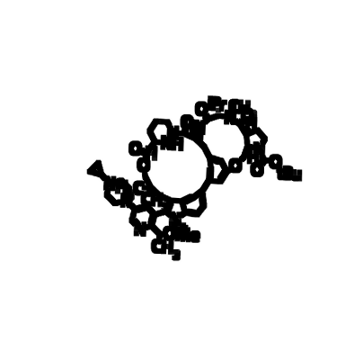 CCn1c(-c2cc(N3CCN(C4CC4)CC3)cnc2[C@H](C)OC)c2c3cc(ccc31)-c1cc3cc(c1)OC[C@@H]1[C@H](CCN1C(=O)OC(C)(C)C)C(=O)N(C)[C@@H](C(C)C)C(=O)N[C@@H](C3)C(=O)N1CCC[C@H](N1)C(=O)OCC(C)(C)C2